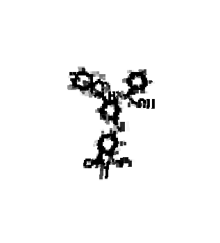 CC(C)n1[nH]c(=O)c2ccc(Nc3cc(N[C@H](CO)c4ccccc4)c(C4=NC5(CCOCC5)CO4)cn3)cc21